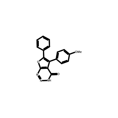 COc1ccc(-c2c(-c3ccccc3)oc3nn[nH]c(=O)c23)cc1